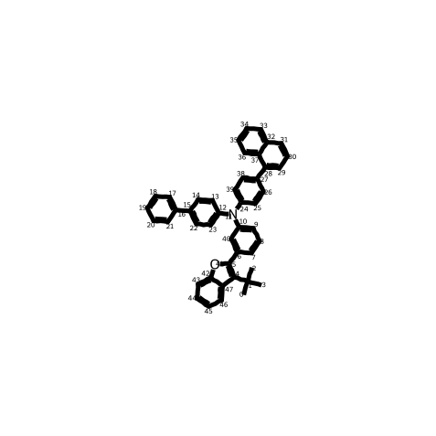 CC(C)(C)c1c(-c2cccc(N(c3ccc(-c4ccccc4)cc3)c3ccc(-c4cccc5ccccc45)cc3)c2)oc2ccccc12